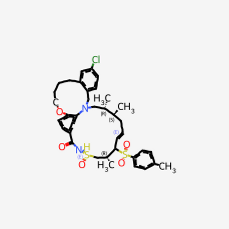 Cc1ccc(S(=O)(=O)C2/C=C/C[C@H](C)[C@@H](C)CN3Cc4ccc(Cl)cc4CCCCOc4ccc(cc43)C(=O)/N=[SH](=O)\C[C@H]2C)cc1